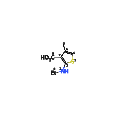 CCNc1scc(C)c1C(=O)O